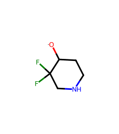 [O]C1CCNCC1(F)F